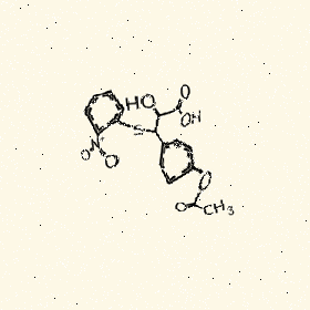 CC(=O)Oc1ccc(C(Sc2ccccc2[N+](=O)[O-])C(O)C(=O)O)cc1